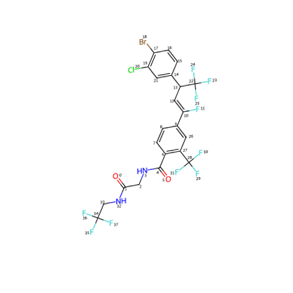 O=C(CNC(=O)c1ccc(/C(F)=C/C(c2ccc(Br)c(Cl)c2)C(F)(F)F)cc1C(F)(F)F)NCC(F)(F)F